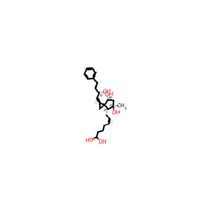 C[C@@]1(O)C[C@@H](O)C2(C/C2=C/[C@@H](O)CCc2ccccc2)[C@H]1C/C=C\CCCC(O)O